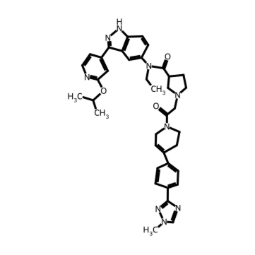 CCN(C(=O)C1CCN(CC(=O)N2CC=C(c3ccc(-c4ncn(C)n4)cc3)CC2)C1)c1ccc2[nH]nc(-c3ccnc(OC(C)C)c3)c2c1